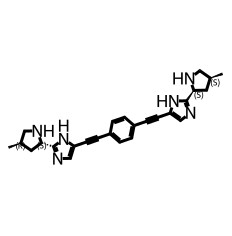 C[C@@H]1CN[C@H](c2ncc(C#Cc3ccc(C#Cc4cnc([C@@H]5C[C@@H](C)CN5)[nH]4)cc3)[nH]2)C1